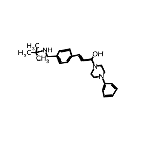 CC(C)(C)NCc1ccc(/C=C/C(O)N2CCN(c3ccccc3)CC2)cc1